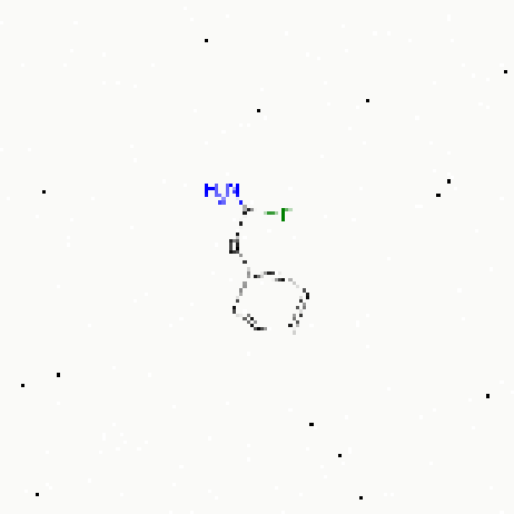 NC(F)[B]c1ccccc1